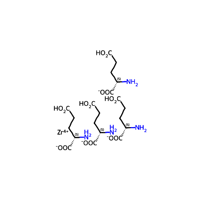 N[C@@H](CCC(=O)O)C(=O)[O-].N[C@@H](CCC(=O)O)C(=O)[O-].N[C@@H](CCC(=O)O)C(=O)[O-].N[C@@H](CCC(=O)O)C(=O)[O-].[Zr+4]